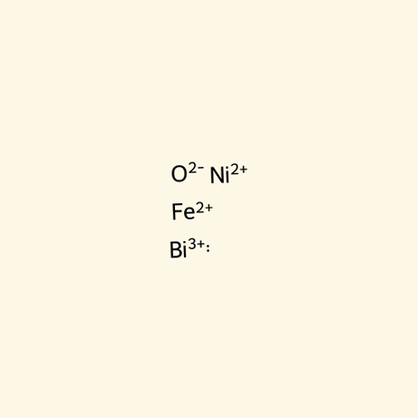 [Bi+3].[Fe+2].[Ni+2].[O-2]